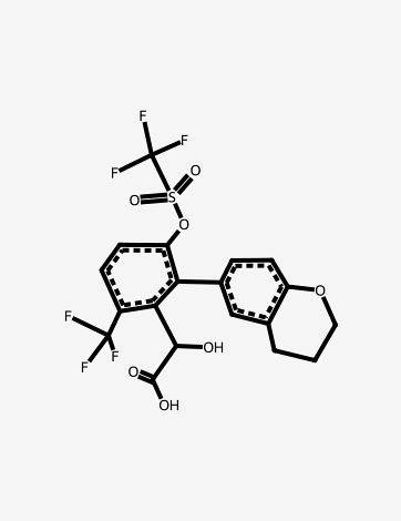 O=C(O)C(O)c1c(C(F)(F)F)ccc(OS(=O)(=O)C(F)(F)F)c1-c1ccc2c(c1)CCCO2